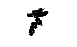 CN1CCN(Cc2ccc(-c3cncc(C(=O)NN(CC4CCCC4)c4nc(C#N)ncc4Br)c3)cc2)CC1